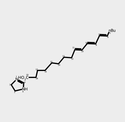 C1=NCCN1.CCCCC=CC=CC=CCCCCCCCC(=O)O